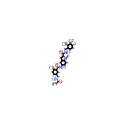 CC(C)C(=O)NCc1ccc(Cl)c(C(=O)Nc2ccc3c(c2)cc(C(=O)NCc2cccc(C(F)(F)F)c2Cl)n3C)c1